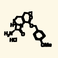 COc1ccc(COC(=O)C2=C(CCl)CS[C@H]3[C@@H](N)C(=O)N23)cc1.Cl